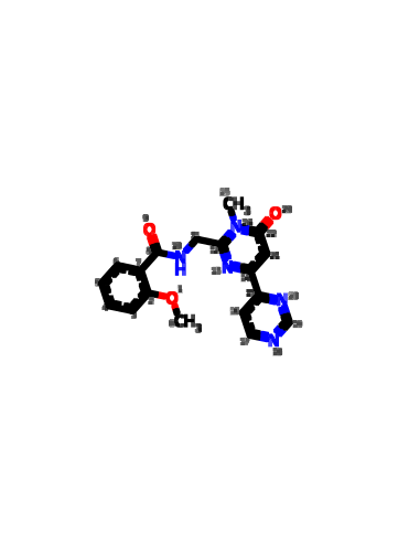 COc1ccccc1C(=O)NCc1nc(-c2ccncn2)cc(=O)n1C